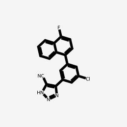 N#Cc1[nH]nnc1-c1cc(Cl)cc(-c2ccc(F)c3ccccc23)c1